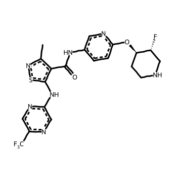 Cc1nsc(Nc2cnc(C(F)(F)F)cn2)c1C(=O)Nc1ccc(O[C@@H]2CCNC[C@H]2F)nc1